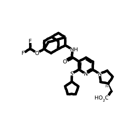 O=C(O)C[C@@H]1CCN(c2ccc(C(=O)NC3C4CC5CC3CC(OC(F)F)(C5)C4)c(SC3CCCC3)n2)C1